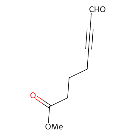 COC(=O)CCCC#CC=O